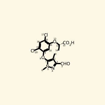 Cc1c(C=O)nn(C)c1Oc1cc(O[C@@H](C)C(=O)O)c(Cl)cc1Cl